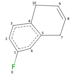 Fc1ccc2c(c1)CC=C[CH]2